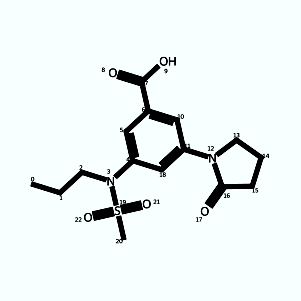 CCCN(c1cc(C(=O)O)cc(N2CCCC2=O)c1)S(C)(=O)=O